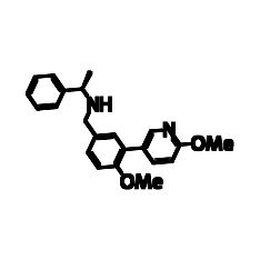 COc1ccc(-c2cc(CN[C@H](C)c3ccccc3)ccc2OC)cn1